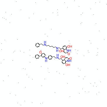 COc1ccc(Nc2ccc(CCNCC(O)c3ccc(O)c4[nH]c(=O)ccc34)cc2)cc1-c1ccccc1.O=c1ccc2c(C(O)CNCCCCCCNCCc3ccccc3)ccc(O)c2[nH]1